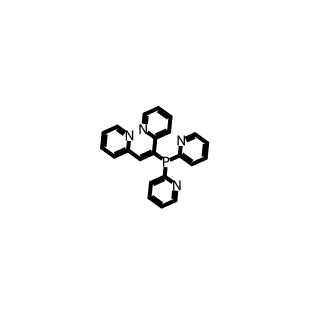 C(=C(c1ccccn1)P(c1ccccn1)c1ccccn1)c1ccccn1